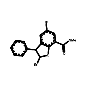 CCC1Oc2c(C(=O)NC)cc(Br)cc2C1c1ccccc1